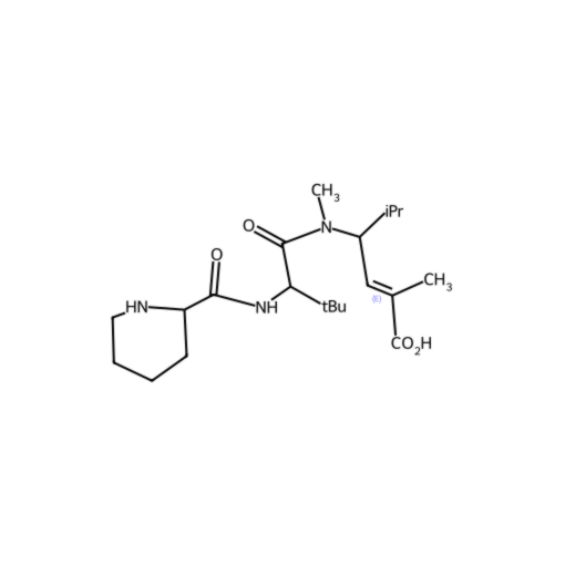 C/C(=C\C(C(C)C)N(C)C(=O)C(NC(=O)C1CCCCN1)C(C)(C)C)C(=O)O